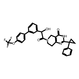 O=C(C(O)c1cccc(-c2ccc(OC(F)(F)F)cc2)c1)N1CCc2nc(C3(c4ccccc4)CC3)[nH]c(=O)c2C1